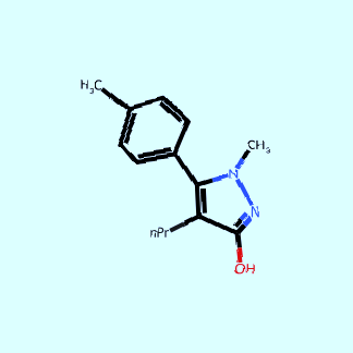 CCCc1c(O)nn(C)c1-c1ccc(C)cc1